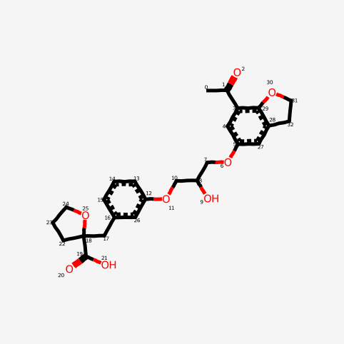 CC(=O)c1cc(OCC(O)COc2cccc(CC3(C(=O)O)CCCO3)c2)cc2c1OCC2